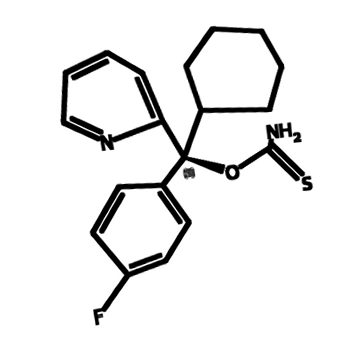 NC(=S)O[C@@](c1ccc(F)cc1)(c1ccccn1)C1CCCCC1